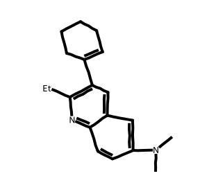 CCc1nc2ccc(N(C)C)cc2cc1C1=CCCCC1